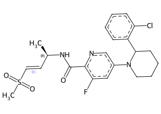 C[C@H](/C=C/S(C)(=O)=O)NC(=O)c1ncc(N2CCCCC2c2ccccc2Cl)cc1F